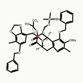 COc1c(C)cc2c(c1OCc1ccccc1)[C@@H]1[C@H](CO[Si](C)(C)C(C)(C)C)N([C@@H](CO)c3cc(OCc4ccccc4)c(C)c4c3OCO4)C(=O)[C@H](C2)N1C(=O)OCC(Cl)(Cl)Cl